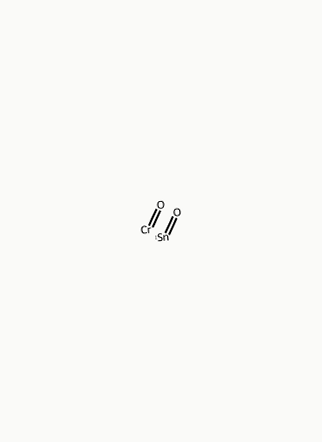 [O]=[Cr].[O]=[Sn]